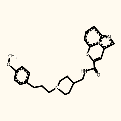 COc1ccc(CCCN2CCC(CNC(=O)C3=Cc4cnc5cccc(n45)S3)CC2)cc1